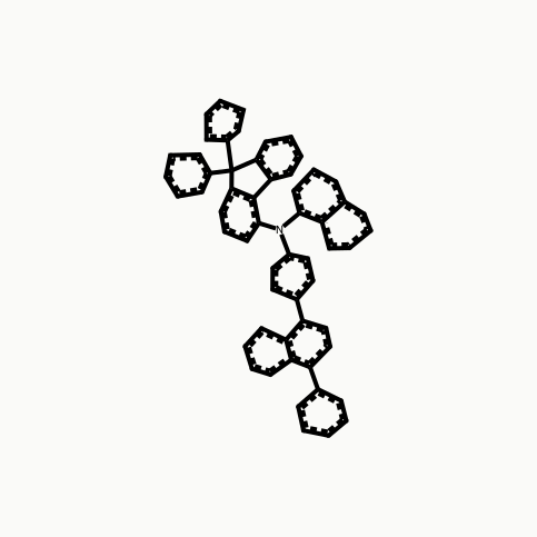 c1ccc(-c2ccc(-c3ccc(N(c4cccc5c4-c4ccccc4C5(c4ccccc4)c4ccccc4)c4cccc5ccccc45)cc3)c3ccccc23)cc1